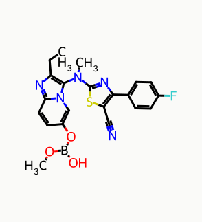 CCc1nc2ccc(OB(O)OC)cn2c1N(C)c1nc(-c2ccc(F)cc2)c(C#N)s1